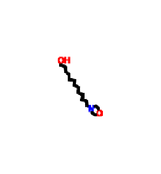 OCCCCCCCCCCCCCN1CCOCC1